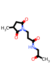 CC(=O)CNC(=O)CCN1C(=O)CC(C)C1=O